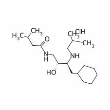 CC(C)CN[C@@H](CC1CCCCC1)[C@H](O)CNC(=O)CC(C)C.Cl